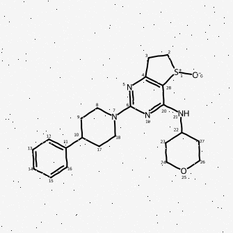 [O-][S+]1CCc2nc(N3CCC(c4ccccc4)CC3)nc(NC3CCOCC3)c21